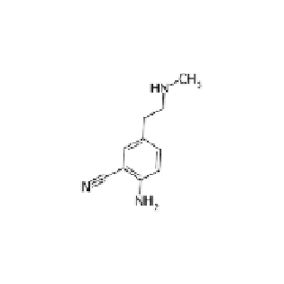 CNCCc1ccc(N)c(C#N)c1